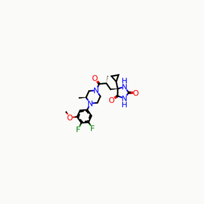 COc1cc(N2CCN(C(=O)[C@H](C)C[C@@]3(C4CC4)NC(=O)NC3=O)C[C@@H]2C)cc(F)c1F